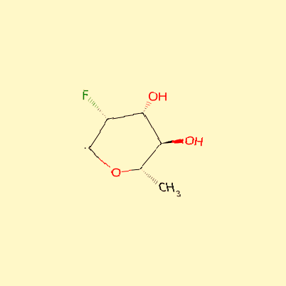 C[C@@H]1O[CH][C@H](F)[C@H](O)[C@H]1O